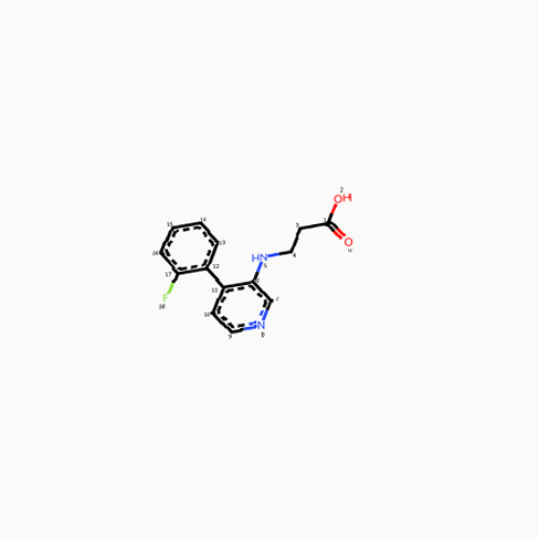 O=C(O)CCNc1cnccc1-c1ccccc1F